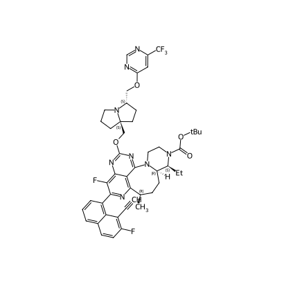 C#Cc1c(F)ccc2cccc(-c3nc4c5c(nc(OC[C@@]67CCCN6[C@H](COc6cc(C(F)(F)F)ncn6)CC7)nc5c3F)N3CCN(C(=O)OC(C)(C)C)[C@@H](CC)[C@H]3CC[C@H]4C)c12